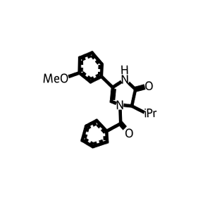 COc1cccc(C2=CN(C(=O)c3ccccc3)C(C(C)C)C(=O)N2)c1